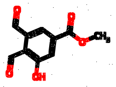 COC(=O)c1cc(O)c(C=O)c(C=O)c1